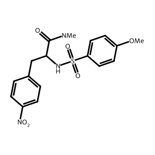 CNC(=O)C(Cc1ccc([N+](=O)[O-])cc1)NS(=O)(=O)c1ccc(OC)cc1